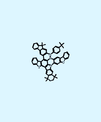 CC(C)(C)c1ccc(N2B3c4cc5c(cc4-n4c6cc7c(cc6c6c8sc9ccccc9c8c(c3c64)-c3cc4c(cc32)C(C)(C)c2ccccc2-4)C(C)(C)CCC7(C)C)oc2ccccc25)cc1